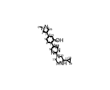 Cn1cc(-c2ccc(-c3cnc(N4CCNC(C5CC5)C4)nn3)c(O)c2)cn1